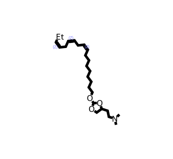 CC/C=C\C/C=C\C/C=C\CCCCCCCCOC1OCC(CCN(C)C)O1